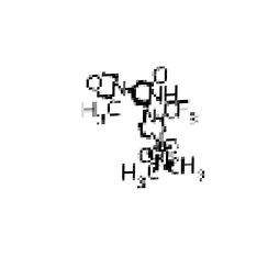 CC1COCCN1c1cc(N2CCN(S(=O)(=O)N(C)C)CC2C(F)(F)F)[nH]c(=O)c1